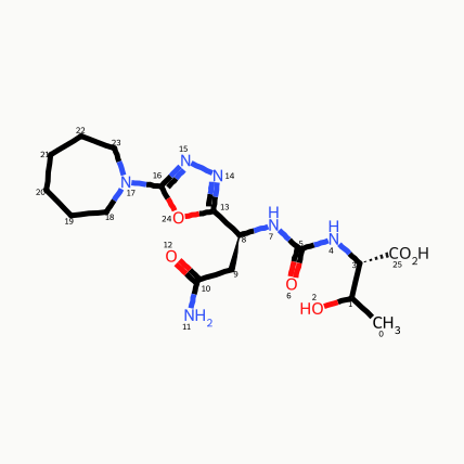 CC(O)[C@H](NC(=O)N[C@@H](CC(N)=O)c1nnc(N2CCCCCC2)o1)C(=O)O